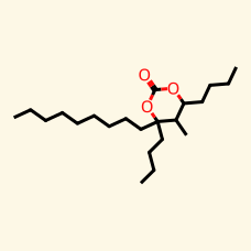 CCCCCCCCCC1(CCCC)OC(=O)OC(CCCC)C1C